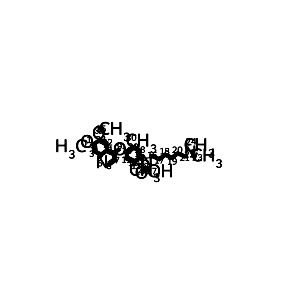 COc1cc2nccc(Oc3cc(C)c(N(CCCCCCN(C)C)C(=O)O)cc3C)c2cc1OC